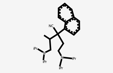 CC(C)N(CCC(C#N)(c1cccc2ccccc12)C(C)CN(C(C)C)C(C)C)C(C)C